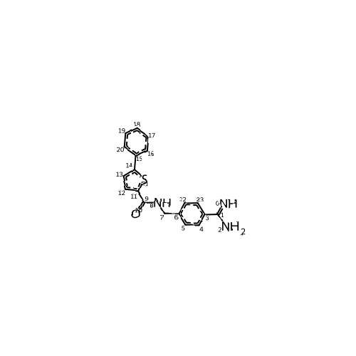 N=C(N)c1ccc(CNC(=O)c2ccc(-c3ccccc3)s2)cc1